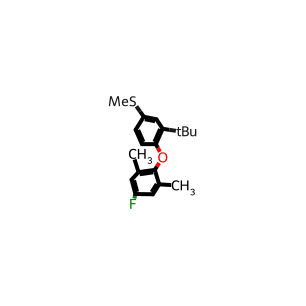 CSc1ccc(Oc2c(C)cc(F)cc2C)c(C(C)(C)C)c1